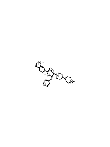 CN1CCC(C2CCN(C(=O)[C@@H](Cc3ccncc3)NC(=O)c3ccc4cc[nH]c4c3)CC2)CC1